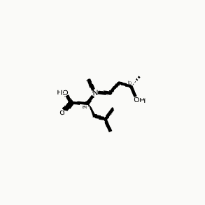 CC(C)C[C@@H](C(=O)O)N(C)CC[C@H](C)O